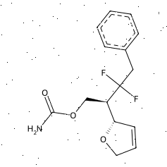 NC(=O)OC[C@H]([C@@H]1C=CCO1)C(F)(F)Cc1ccccc1